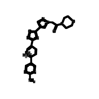 C=C(/C=C\C(=C/N)c1noc(-c2cnn(CC(=O)N3CCOCC3)c2)n1)c1cnc(N)nc1